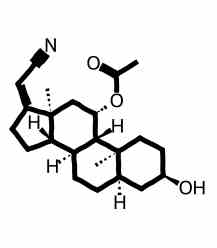 CC(=O)O[C@H]1C[C@]2(C)/C(=C\C#N)CC[C@H]2[C@@H]2CC[C@@H]3C[C@H](O)CC[C@]3(C)[C@H]21